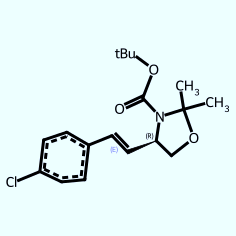 CC(C)(C)OC(=O)N1[C@H](/C=C/c2ccc(Cl)cc2)COC1(C)C